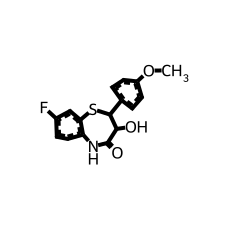 COc1ccc(C2Sc3cc(F)ccc3NC(=O)C2O)cc1